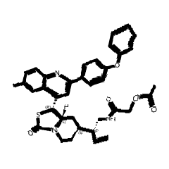 C=C[C@@H](CNC(=O)COC(C)=O)[C@H]1CCN2C(=O)S[C@H](c3cc(-c4ccc(Oc5ccccc5)cc4)nc4ccc(C)cc34)[C@@H]2C1